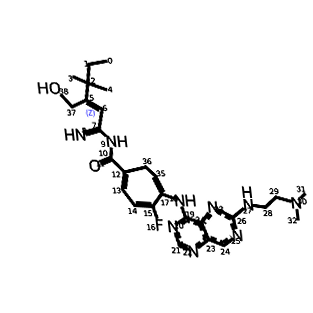 CCC(C)(C)/C(=C/C(=N)NC(=O)C1=CC=C(F)C(Nc2ncnc3cnc(NCCN(C)C)nc23)=CC1)CO